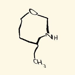 CC1CCOCN1